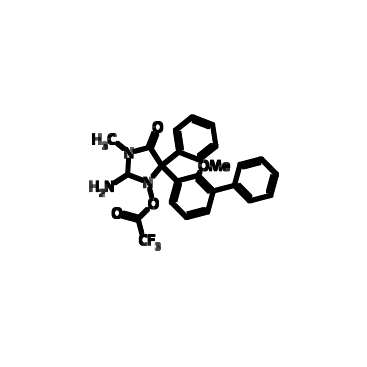 COc1c(-c2ccccc2)cccc1C1(c2ccccc2)C(=O)N(C)C(N)N1OC(=O)C(F)(F)F